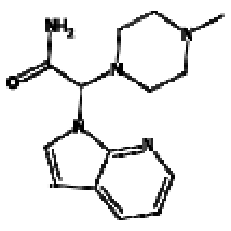 CN1CCN(C(C(N)=O)n2c[c]c3cccnc32)CC1